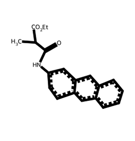 CCOC(=O)C(C)C(=O)Nc1ccc2cc3ccccc3cc2c1